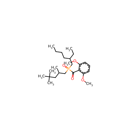 CCCCC(CC)CP(=O)(CC(C)CC(C)(C)C)C(=O)c1c(OC)cccc1OC